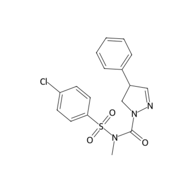 CN(C(=O)N1CC(c2ccccc2)C=N1)S(=O)(=O)c1ccc(Cl)cc1